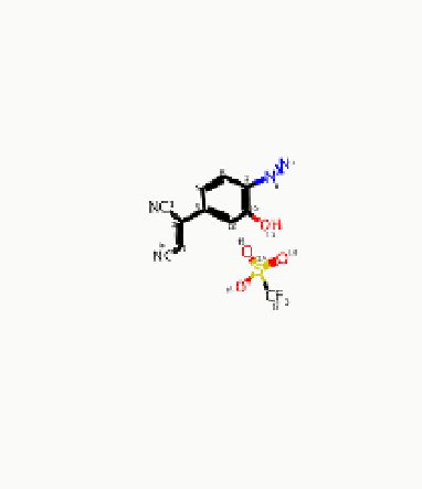 N#CC=C(C#N)c1ccc([N+]#N)c(O)c1.O=S(=O)([O-])C(F)(F)F